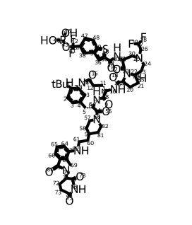 CC(C)(C)c1ccc(C[C@H](NC(=O)[C@H](CCC(N)=O)NC(=O)[C@@H]2CC[C@@H]3CCN(CC(F)F)C[C@H](NC(=O)c4cc5cc(C(F)(F)OP(O)O)ccc5s4)C(=O)N32)C(=O)N2CCC(CCNc3cccc4c3CN(C3CCC(=O)NC3=O)C4=O)CC2)cc1